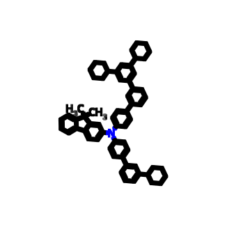 CC1(C)c2ccccc2-c2ccc(N(c3ccc(-c4cccc(-c5cc(C6CCCCC6)cc(C6CCCCC6)c5)c4)cc3)c3ccc(-c4cccc(C5CCCCC5)c4)cc3)cc21